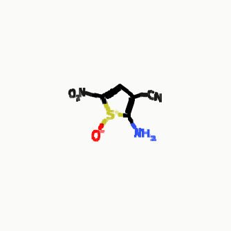 N#Cc1cc([N+](=O)[O-])[s+]([O-])c1N